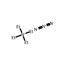 CC[N+](CC)(CC)CC.[N-]=[N+]=[N-]